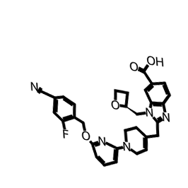 N#Cc1ccc(COc2cccc(N3CC=C(Cc4nc5ccc(C(=O)O)cc5n4C[C@@H]4CCO4)CC3)n2)c(F)c1